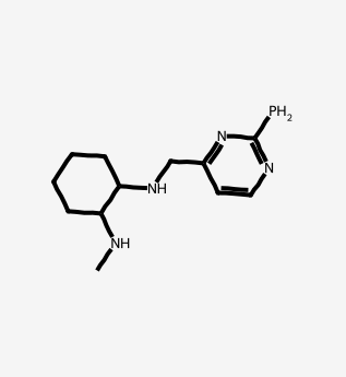 CNC1CCCCC1NCc1ccnc(P)n1